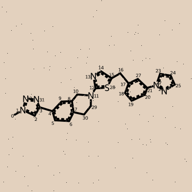 Cn1cc(-c2ccc3c(c2)CN(c2ncc(Cc4cccc(-n5cccn5)c4)s2)CC3)nn1